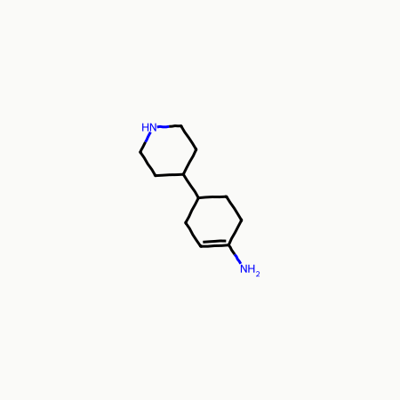 NC1=CCC(C2CCNCC2)CC1